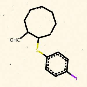 O=CC1CCCCCCC1Sc1ccc(I)cc1